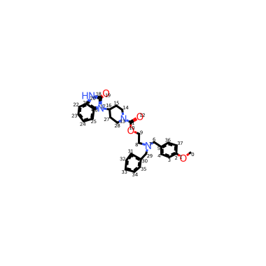 COc1ccc(CN(CCOC(=O)N2CCC(n3c(=O)[nH]c4ccccc43)CC2)Cc2ccccc2)cc1